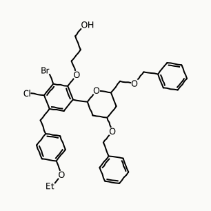 CCOc1ccc(Cc2cc(C3CC(OCc4ccccc4)CC(COCc4ccccc4)O3)c(OCCCO)c(Br)c2Cl)cc1